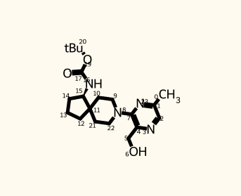 Cc1cnc(CO)c(N2CCC3(CCC[C@H]3NC(=O)OC(C)(C)C)CC2)n1